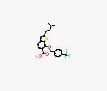 CC(C)CCc1cc2ccc(C(=O)O)c(OCc3ccc(C(F)(F)F)cc3)c2s1